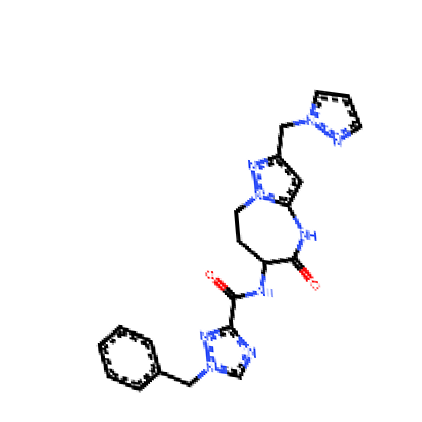 O=C(NC1CCn2nc(Cn3cccn3)cc2NC1=O)c1ncn(Cc2ccccc2)n1